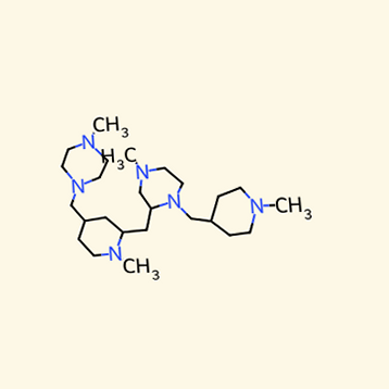 CN1CCC(CN2CCN(C)CC2CC2CC(CN3CCN(C)CC3)CCN2C)CC1